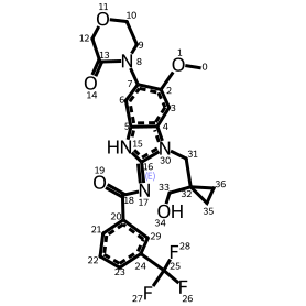 COc1cc2c(cc1N1CCOCC1=O)[nH]/c(=N\C(=O)c1cccc(C(F)(F)F)c1)n2CC1(CO)CC1